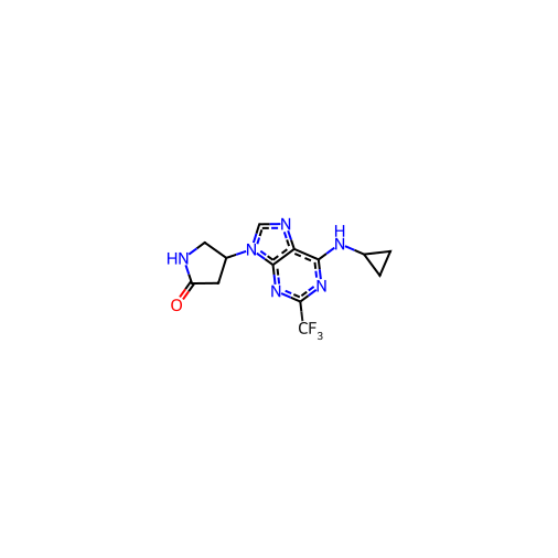 O=C1CC(n2cnc3c(NC4CC4)nc(C(F)(F)F)nc32)CN1